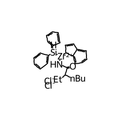 CCCCC(CC)C(=O)[NH][Zr+2]([CH]1C=Cc2ccccc21)[SiH](c1ccccc1)c1ccccc1.[Cl-].[Cl-]